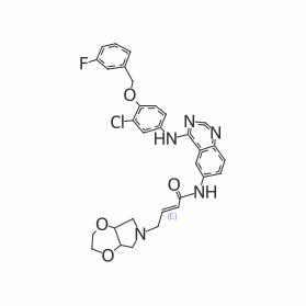 O=C(/C=C/CN1CC2OCCOC2C1)Nc1ccc2ncnc(Nc3ccc(OCc4cccc(F)c4)c(Cl)c3)c2c1